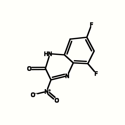 O=c1[nH]c2cc(F)cc(F)c2nc1[N+](=O)[O-]